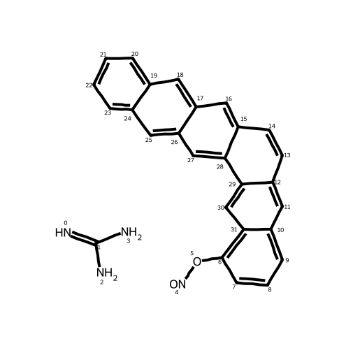 N=C(N)N.O=NOc1cccc2cc3ccc4cc5cc6ccccc6cc5cc4c3cc12